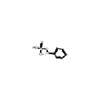 O=P(O)(O)OPc1ccccc1